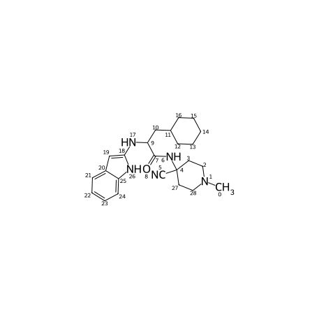 CN1CCC(C#N)(NC(=O)C(CC2CCCCC2)Nc2cc3ccccc3[nH]2)CC1